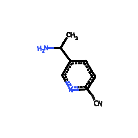 CC(N)c1ccc(C#N)nc1